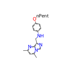 CCCCCOc1ccc(NCc2ncn3c(C)cc(C)nc23)cc1